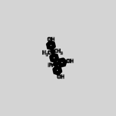 CC(C)C(c1ccc(O)cc1)(c1ccc(O)cc1)c1ccc(C(C)(C)c2ccc(O)cc2)cc1